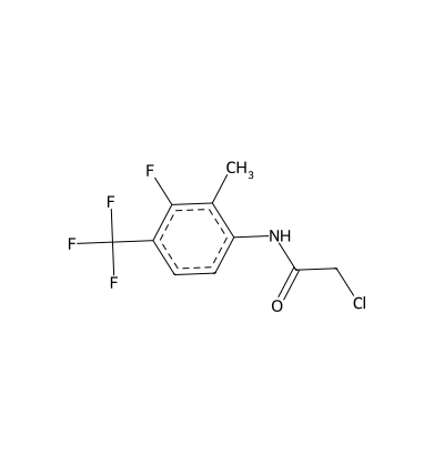 Cc1c(NC(=O)CCl)ccc(C(F)(F)F)c1F